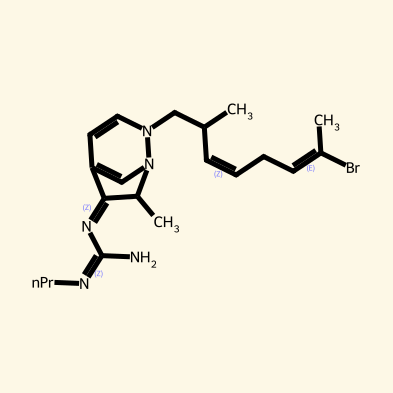 CCC/N=C(N)\N=C1\C2=CN(C1C)N(CC(C)/C=C\C/C=C(\C)Br)C=C2